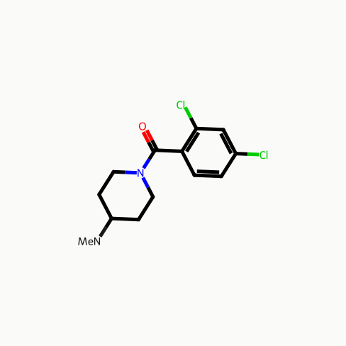 CNC1CCN(C(=O)c2ccc(Cl)cc2Cl)CC1